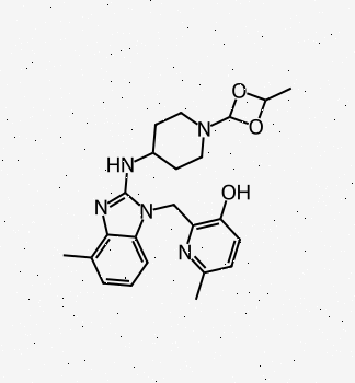 Cc1ccc(O)c(Cn2c(NC3CCN(C4OC(C)O4)CC3)nc3c(C)cccc32)n1